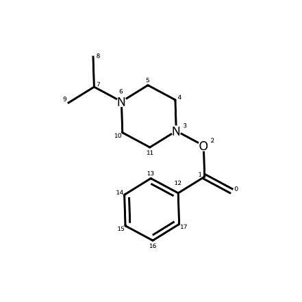 C=C(ON1CCN(C(C)C)CC1)c1ccccc1